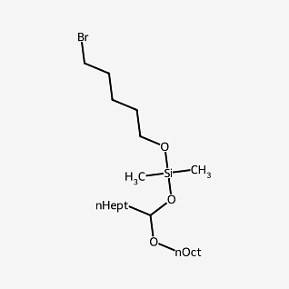 CCCCCCCCOC(CCCCCCC)O[Si](C)(C)OCCCCCBr